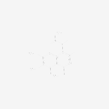 COC(=O)C(C)c1c(O)nc(C)c2c(OC)c(OC)c(OC)cc12